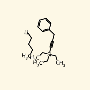 CC[Si](C#CCc1ccccc1)(CC)CC.[Li][CH2]CCC